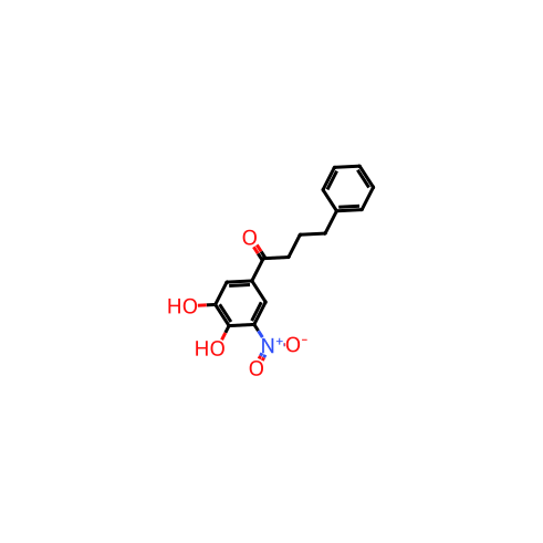 O=C(CCCc1ccccc1)c1cc(O)c(O)c([N+](=O)[O-])c1